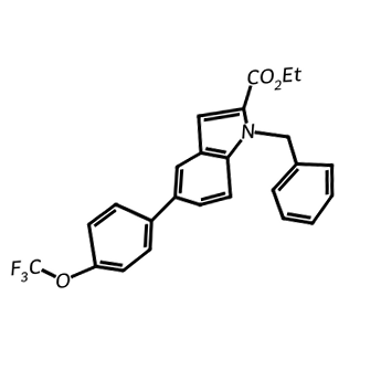 CCOC(=O)c1cc2cc(-c3ccc(OC(F)(F)F)cc3)ccc2n1Cc1ccccc1